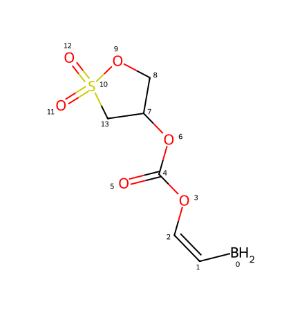 B/C=C\OC(=O)OC1COS(=O)(=O)C1